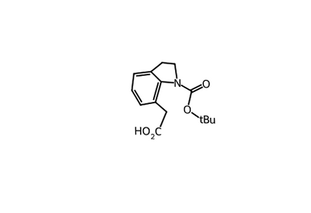 CC(C)(C)OC(=O)N1CCc2cccc(CC(=O)O)c21